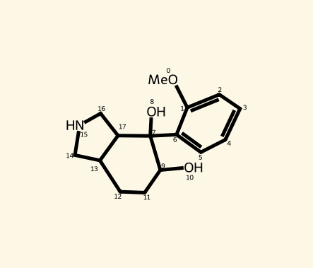 COc1ccccc1C1(O)C(O)CCC2CNCC21